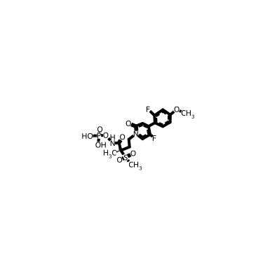 COc1ccc(-c2cc(=O)n(CC[C@](C)(C(=O)NOP(=O)(O)O)S(C)(=O)=O)cc2F)c(F)c1